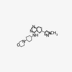 Cn1cc(-c2ccc3ncnc(N[C@H]4CC[C@H](N5CCOCC5)CC4)c3c2)cn1